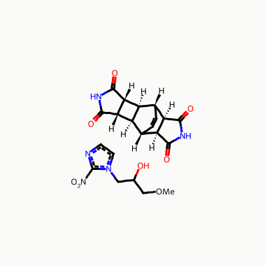 COCC(O)Cn1ccnc1[N+](=O)[O-].O=C1NC(=O)[C@H]2[C@H]3C=C[C@@H]([C@@H]12)[C@@H]1[C@H]2C(=O)NC(=O)[C@H]2[C@H]31